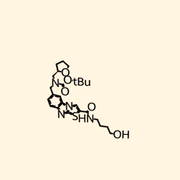 CC(C)(C)OC(=O)N(Cc1ccc2nc3sc(C(=O)NCCCCO)cn3c2c1)C[C@H]1CCCO1